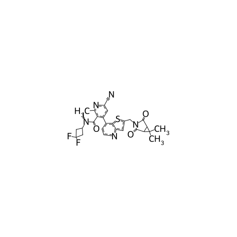 Cc1nc(C#N)cc(-c2ccnc3cc(CN4C(=O)C5C(C4=O)C5(C)C)sc23)c1C(=O)N(I)C1CC(F)(F)C1